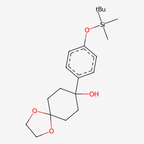 CC(C)(C)[Si](C)(C)Oc1ccc(C2(O)CCC3(CC2)OCCO3)cc1